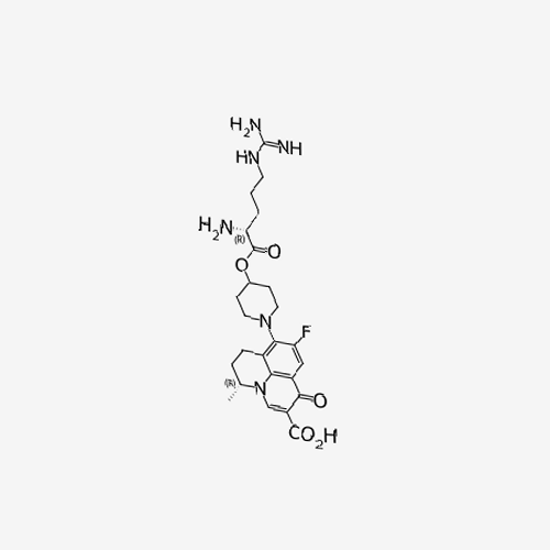 C[C@@H]1CCc2c(N3CCC(OC(=O)[C@H](N)CCCNC(=N)N)CC3)c(F)cc3c(=O)c(C(=O)O)cn1c23